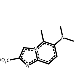 Cc1c(N(C)C)ccc2nc(C(=O)O)cn12